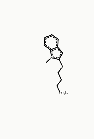 CCOC(=O)CCCSc1cc2ccccc2n1C